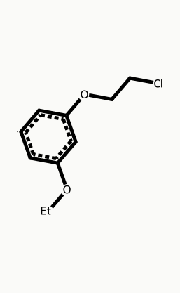 CCOc1c[c]cc(OCCCl)c1